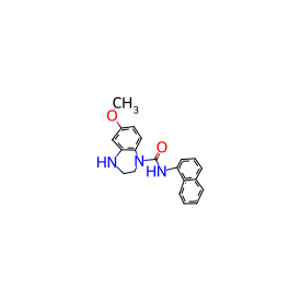 COc1ccc2c(c1)NCCN2C(=O)Nc1cccc2ccccc12